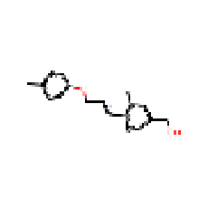 Cc1ccc(OC/C=C/c2ccc(CO)cc2C)cc1